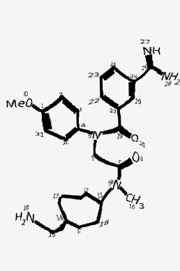 COc1ccc(N(CC(=O)N(C)C2CCC(CN)CC2)C(=O)c2cccc(C(=N)N)c2)cc1